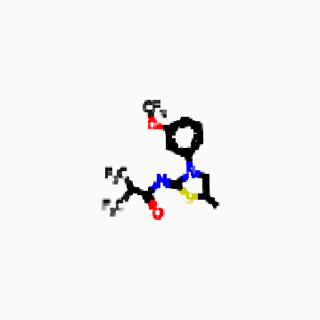 CC1CN(c2cccc(OC(F)(F)F)c2)C(=NC(=O)C(C(F)(F)F)C(F)(F)F)S1